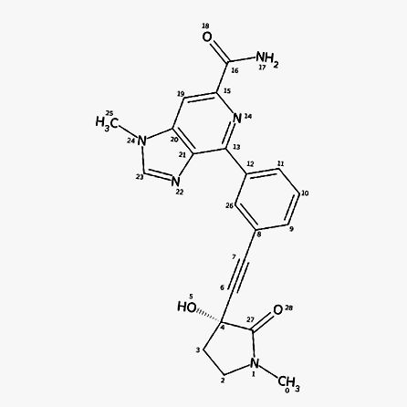 CN1CC[C@@](O)(C#Cc2cccc(-c3nc(C(N)=O)cc4c3ncn4C)c2)C1=O